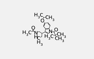 CCC(CNC(C)=O)c1cn(C(=O)C(C)(C)C)c2ccc(OC(C)C)cc12